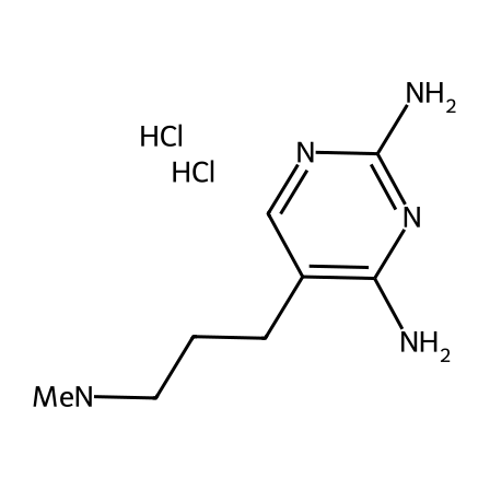 CNCCCc1cnc(N)nc1N.Cl.Cl